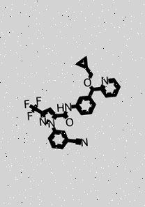 N#Cc1cccc(-n2nc(C(F)(F)F)cc2C(=O)Nc2cccc(C(OCC3CC3)c3ccccn3)c2)c1